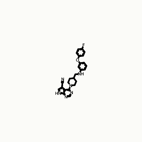 N#Cc1c[nH]c2ncnc(N3CCC(CNc4cccc(Oc5ccc(F)cc5)c4)CC3)c12